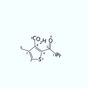 Cc1csc(C(=O)C(C)C)c1C(=O)O